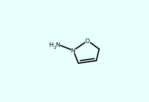 NN1C=CCO1